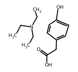 CCN(CC)CC.O=C(O)Cc1ccc(O)cc1